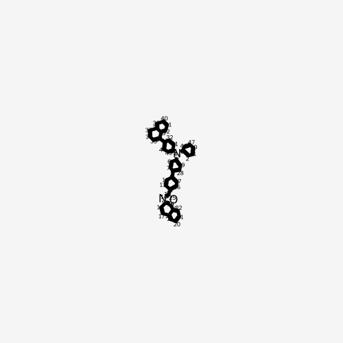 c1ccc(N(c2ccc(-c3ccc(-c4nc5ccc6ccccc6c5o4)cc3)cc2)c2ccc(-c3cccc4ccccc34)cc2)cc1